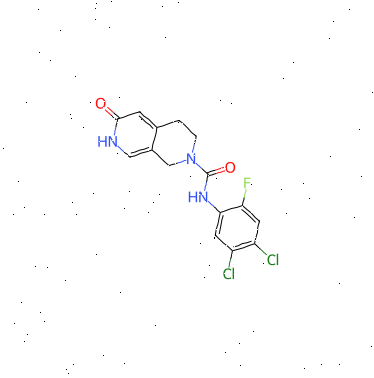 O=C(Nc1cc(Cl)c(Cl)cc1F)N1CCc2cc(=O)[nH]cc2C1